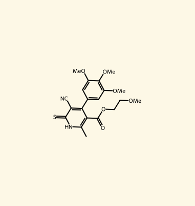 COCCOC(=O)c1c(C)[nH]c(=S)c(C#N)c1-c1cc(OC)c(OC)c(OC)c1